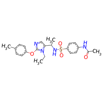 CCn1c(C(C)NS(=O)(=O)c2ccc(NC(C)=O)cc2)cnc1Oc1ccc(C)cc1